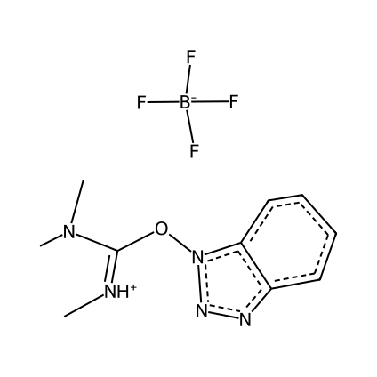 C[NH+]=C(On1nnc2ccccc21)N(C)C.F[B-](F)(F)F